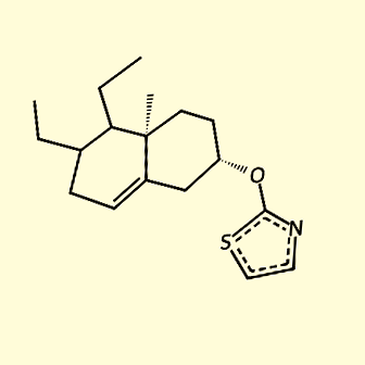 CCC1CC=C2C[C@@H](Oc3nccs3)CC[C@]2(C)C1CC